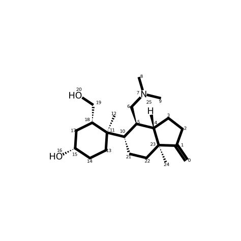 C=C1CC[C@H]2[C@H](CN(C)C)[C@@H]([C@@]3(C)CC[C@H](O)C[C@@H]3CO)CC[C@]12C